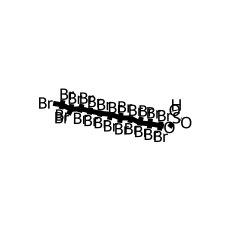 O=[SH](=O)OC(Br)(Br)C(Br)(Br)C(Br)(Br)C(Br)(Br)C(Br)(Br)C(Br)(Br)C(Br)(Br)C(Br)(Br)C(Br)(Br)C(Br)(Br)C(Br)(Br)Br